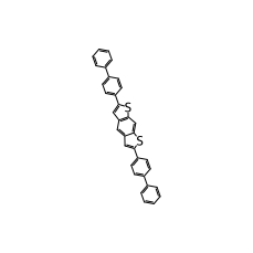 c1ccc(-c2ccc(-c3cc4cc5cc(-c6ccc(-c7ccccc7)cc6)sc5cc4s3)cc2)cc1